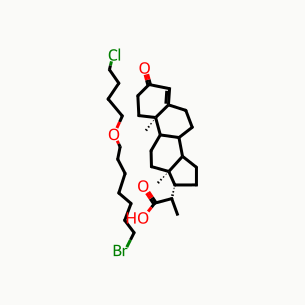 CC(C(=O)O)[C@H]1CCC2C3CCC4=CC(=O)CC[C@]4(C)C3CC[C@@]21C.ClCCCCOCCCCCCCBr